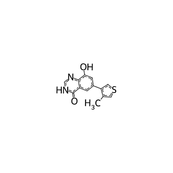 Cc1cscc1-c1cc(O)c2nc[nH]c(=O)c2c1